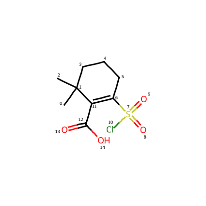 CC1(C)CCCC(S(=O)(=O)Cl)=C1C(=O)O